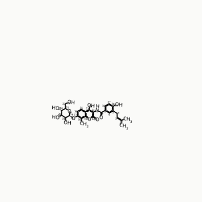 CC(C)=CCc1cc(C(=O)Nc2c(O)c3ccc(O[C@@H]4OC(CO)[C@@H](O)C(O)C4O)c(C)c3oc2=O)ccc1O